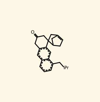 CC(C)Cc1cccc2cc3c(cc12)C1(CC(=O)C3)CC2=CCC1C2